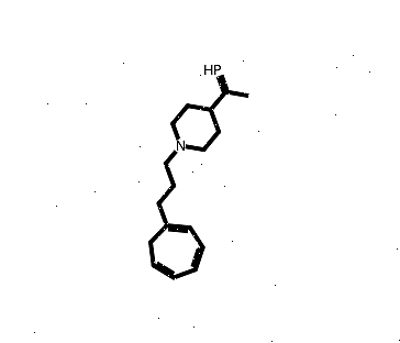 CC(=P)C1CCN(CCCC2=CC=CC=CC2)CC1